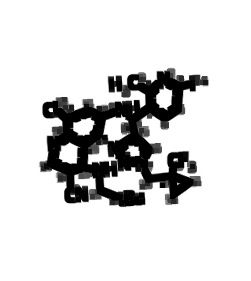 Cc1nc(F)ccc1[C@H](Nc1cc(Cl)c2ncc(C#N)c(NCC(C)(C)C)c2c1)c1cn(CC2(C(F)(F)F)CC2)nn1